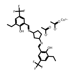 CC(=O)[O-].CC(=O)[O-].CCc1cc(C(F)(F)F)cc(C=NC2CCC(N=Cc3cc(C(F)(F)F)cc(CC)c3O)C2)c1O.[Co+2]